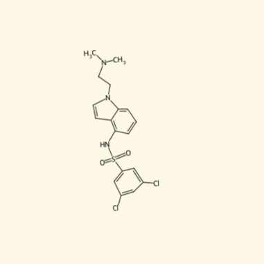 CN(C)CCn1ccc2c(NS(=O)(=O)c3cc(Cl)cc(Cl)c3)cccc21